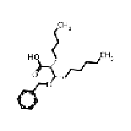 CCCCCC[C@H](OCc1ccccc1)[C@@H](CCCCC)C(=O)O